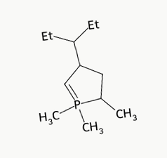 CCC(CC)C1C=P(C)(C)C(C)C1